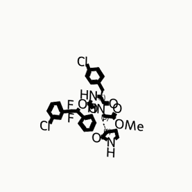 COC(=O)[C@H](C[C@@H]1CCNC1=O)NC(=O)[C@H](Cc1ccc(Cl)cc1)NC(=O)OC(c1ccccc1)C(F)(F)c1cccc(Cl)c1